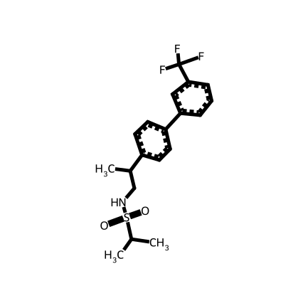 CC(CNS(=O)(=O)C(C)C)c1ccc(-c2cccc(C(F)(F)F)c2)cc1